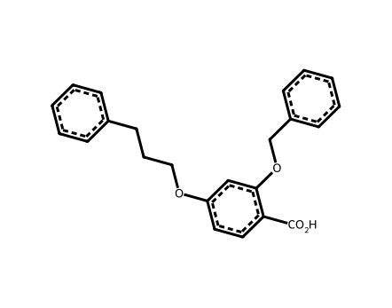 O=C(O)c1ccc(OCCCc2ccccc2)cc1OCc1ccccc1